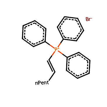 CCCCCC=C[P+](c1ccccc1)(c1ccccc1)c1ccccc1.[Br-]